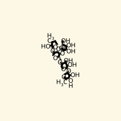 CC1CCO[C@@H](O[C@@H]2CO[C@@H](CO[C@@H]3CO[C@@H](O[C@@H]4CO[C@@H](C)C(O)C4O)C(O)C3O)C(O[C@@H]3O[C@@H](CO)C(O)C3O)C2O)C1O